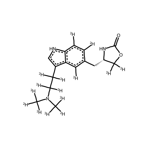 [2H]c1c(C[C@@H]2NC(=O)OC2([2H])[2H])c([2H])c2c(C([2H])([2H])C([2H])([2H])N(C([2H])([2H])[2H])C([2H])([2H])[2H])c[nH]c2c1[2H]